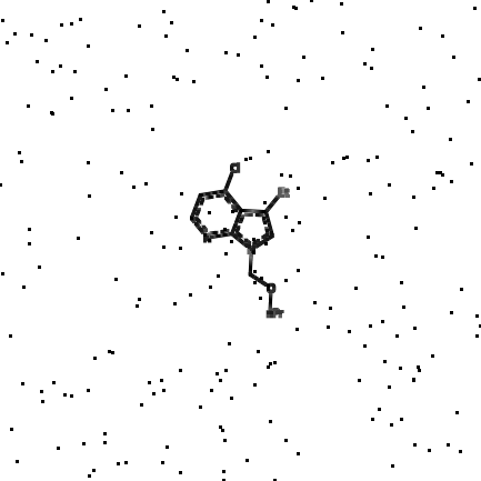 CCCOCn1cc(CC)c2c(Cl)ccnc21